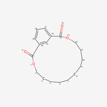 O=C1OCCCCCCCCCCOC(=O)c2cccc1c2